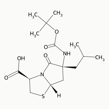 CC(C)C[C@@]1(NC(=O)OC(C)(C)C)C[C@@H]2SC[C@@H](C(=O)O)N2C1=O